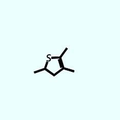 CC1=C(C)SC(C)C1